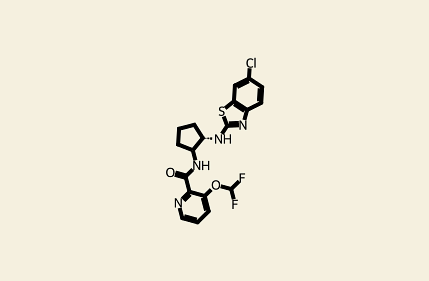 O=C(NC1CCC[C@@H]1Nc1nc2ccc(Cl)cc2s1)c1ncccc1OC(F)F